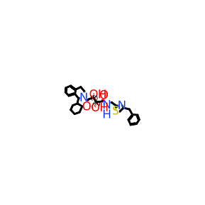 O=C(NCC1=NC(Cc2ccccc2)CS1)[C@H](O)[C@@H](O)C(=O)N1CCc2ccccc2C1C1CCCCC1